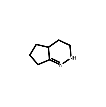 C1CC2=NNCCC2C1